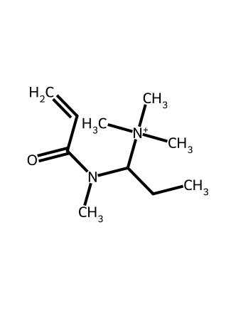 C=CC(=O)N(C)C(CC)[N+](C)(C)C